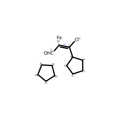 O=C/C=C(/Cl)[C]1[CH][CH][CH][CH]1.[CH]1[CH][CH][CH][CH]1.[Fe]